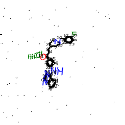 Cl.Cl.O=C(CCC1CCN(Cc2cccc(F)c2)CC1)c1ccc(Nc2ncnc3c2CCC3)cc1